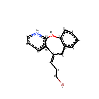 BrCCC=C1Cc2ccccc2Oc2ncccc21